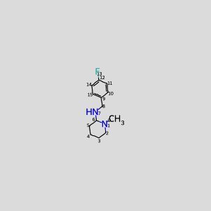 CN1CCCCC1NCc1ccc(F)cc1